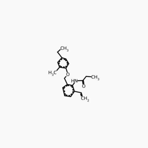 C=Cc1cccc(COc2ccc(CC)cc2C)c1NC(=O)CC